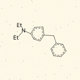 CCN(CC)c1ccc(Cc2ccccc2)cc1